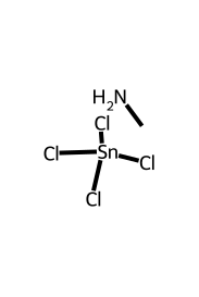 CN.[Cl][Sn]([Cl])([Cl])[Cl]